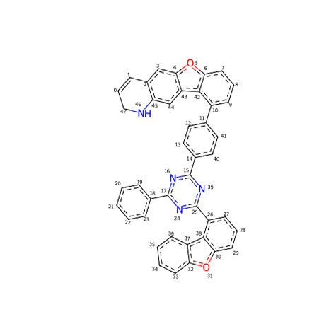 C1=Cc2cc3oc4cccc(-c5ccc(-c6nc(-c7ccccc7)nc(-c7cccc8oc9ccccc9c78)n6)cc5)c4c3cc2NC1